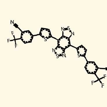 N#Cc1cc(-c2ccc(-c3c4c(c(-c5ccc(-c6ccc(C(F)(F)F)c(C#N)c6)s5)c5nsnc35)N=S=N4)s2)ccc1C(F)(F)F